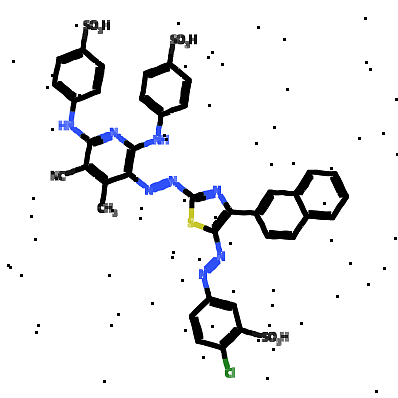 Cc1c(C#N)c(Nc2ccc(S(=O)(=O)O)cc2)nc(Nc2ccc(S(=O)(=O)O)cc2)c1/N=N/c1nc(-c2ccc3ccccc3c2)c(/N=N/c2ccc(Cl)c(S(=O)(=O)O)c2)s1